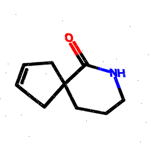 O=C1NCCCC12CC=CC2